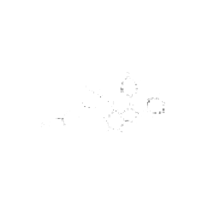 CC(C)(C)OC(=O)CO[C@@H]1CCC[C@H](Nc2ncnc3oc(-c4ccccc4)c(-c4ccccc4)c23)C1